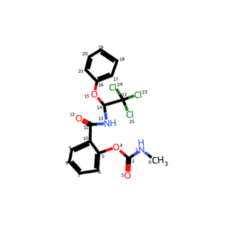 CNC(=O)Oc1ccccc1C(=O)NC(Oc1ccccc1)C(Cl)(Cl)Cl